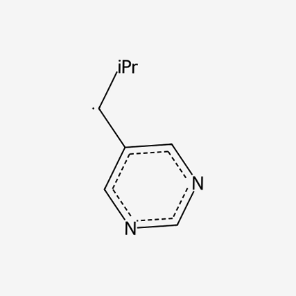 CC(C)[CH]c1cncnc1